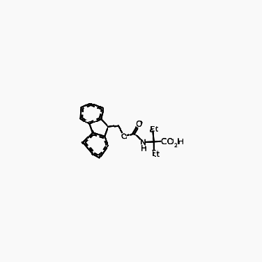 CCC(CC)(NC(=O)OCC1c2ccccc2-c2ccccc21)C(=O)O